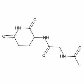 CC(=O)NCC(=O)NC1CCC(=O)NC1=O